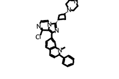 CC(=O)N1CCN([C@H]2C[C@@H](c3nc(-c4ccc5c(c4)N(C)C(c4ccccc4)C=C5)c4c(Cl)nccn43)C2)CC1